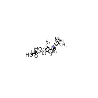 C=C(/N=C(\ON)c1cnc(N(CC)CC)c(C)c1)c1cc(C)c(OC[C@@H](O)CNC(=O)CO)c(CC)c1